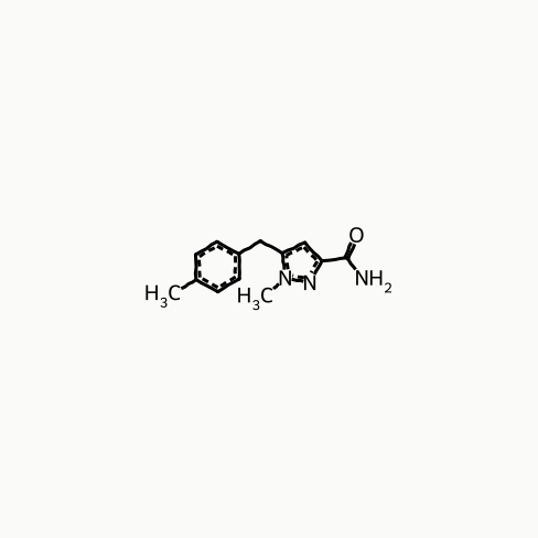 Cc1ccc(Cc2cc(C(N)=O)nn2C)cc1